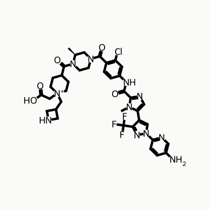 C[C@H]1CN(C(=O)c2ccc(NC(=O)c3ncc(-c4cn(-c5ccc(N)cn5)nc4C(F)(F)F)n3C)cc2Cl)CCN1C(=O)C1CC[N+](CC(=O)O)(CC2CNC2)CC1